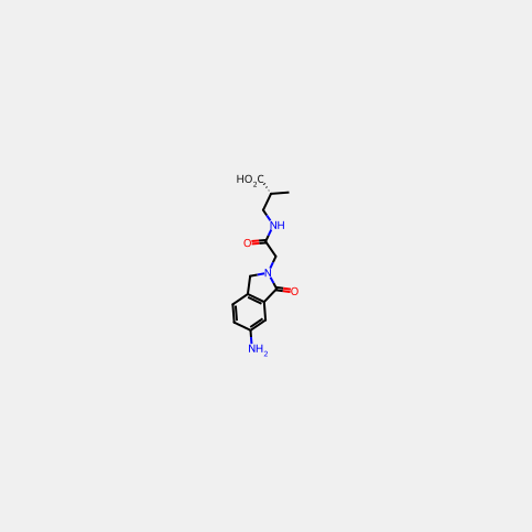 C[C@H](CNC(=O)CN1Cc2ccc(N)cc2C1=O)C(=O)O